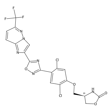 O=C1N[C@H](COc2cc(Cl)c(-c3noc(-c4cn5nc(C(F)(F)F)ccc5n4)n3)cc2Cl)CO1